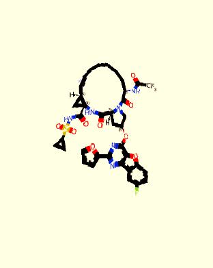 O=C1N[C@]2(C(=O)NS(=O)(=O)C3CC3)C[C@H]2/C=C\CCCCC[C@H](NC(=O)C(F)(F)F)C(=O)N2C[C@H](Oc3nc(-c4ccco4)nc4c3oc3ccc(F)cc34)C[C@@H]12